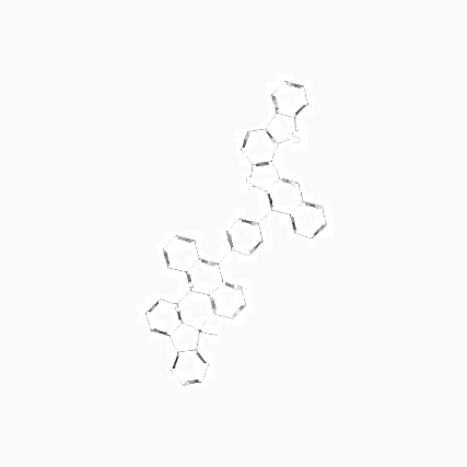 CC1(C)c2ccccc2-c2cccc(-c3c4ccccc4c(-c4ccc(-c5c6ccccc6cc6c5sc5ccc7c8ccccc8sc7c56)cc4)c4ccccc34)c21